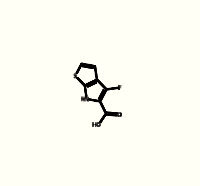 O=C(O)c1[nH]c2sccc2c1F